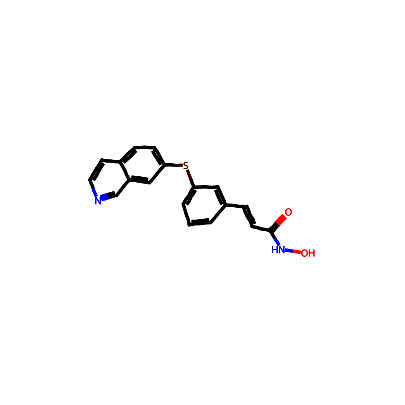 O=C(/C=C/c1cccc(Sc2ccc3ccncc3c2)c1)NO